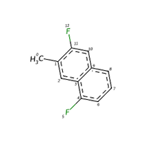 Cc1cc2c(F)cccc2cc1F